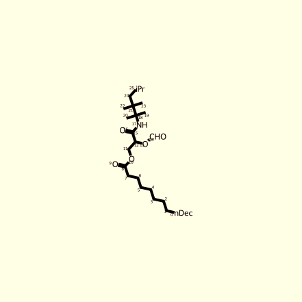 CCCCCCCCCCCCCCCCCC(=O)OCC(OC=O)C(=O)NC(C)(C)C(C)(C)CC(C)C